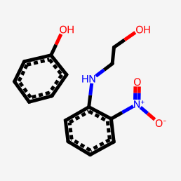 O=[N+]([O-])c1ccccc1NCCO.Oc1ccccc1